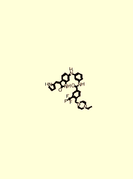 CCN1CCN(Cc2ccc(C(=O)Nc3cccc(Nc4ccc5c(c4)NC(=O)/C5=C\c4ccc[nH]4)c3)cc2C(F)(F)F)CC1